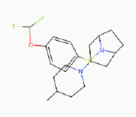 CC1CCN(C2CC3CCC(C2)N3Sc2ccc(OC(F)F)cc2)CC1